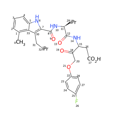 Cc1cccc2[nH]c(C(=O)N[C@H](C(=O)NC(CC(=O)O)C(=O)COc3ccc(F)cc3)C(C)C)c(CC(C)C)c12